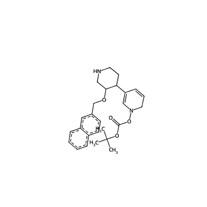 CC(C)(C)OC(=O)ON1C=C(C2CCNCC2OCc2ccc3ccccc3c2)C=CC1